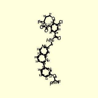 O=C(NCc1cc2nc(-c3cccc(OC(F)F)n3)ccc2cn1)c1cc(Cl)c2c(c1)S(=O)(=O)[C@@H](F)CCO2